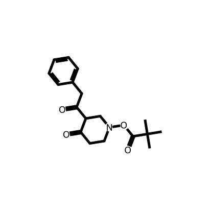 CC(C)(C)C(=O)ON1CCC(=O)C(C(=O)Cc2ccccc2)C1